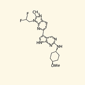 CO[C@H]1CC[C@@H](Nc2ncc3c(-c4ccc5nc(C)n(CC(F)F)c5n4)c[nH]c3n2)CC1